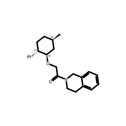 CC(C)[C@@H]1CC[C@@H](C)C[C@H]1OCC(=O)N1CCc2ccccc2C1